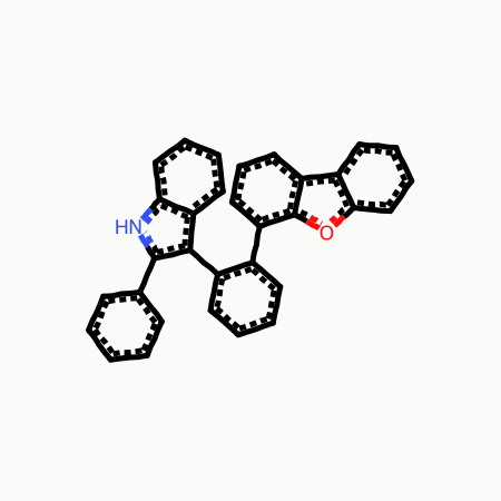 c1ccc(-c2[nH]c3ccccc3c2-c2ccccc2-c2cccc3c2oc2ccccc23)cc1